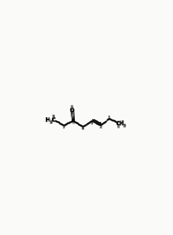 CC/C=C/CC(=O)CC